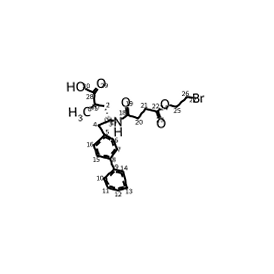 C[C@H](C[C@@H](Cc1ccc(-c2ccccc2)cc1)NC(=O)CCC(=O)OCCBr)C(=O)O